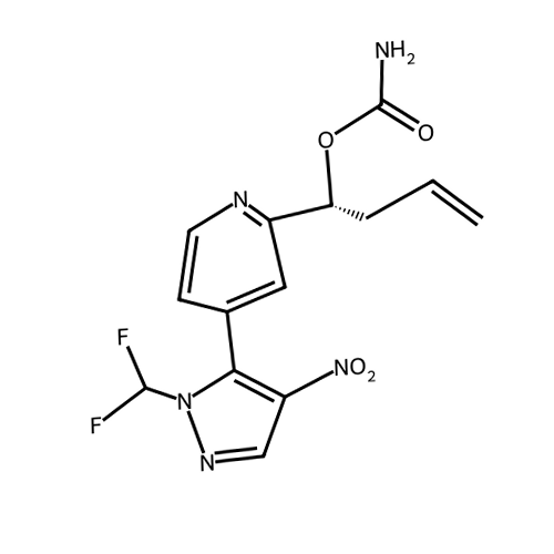 C=CC[C@@H](OC(N)=O)c1cc(-c2c([N+](=O)[O-])cnn2C(F)F)ccn1